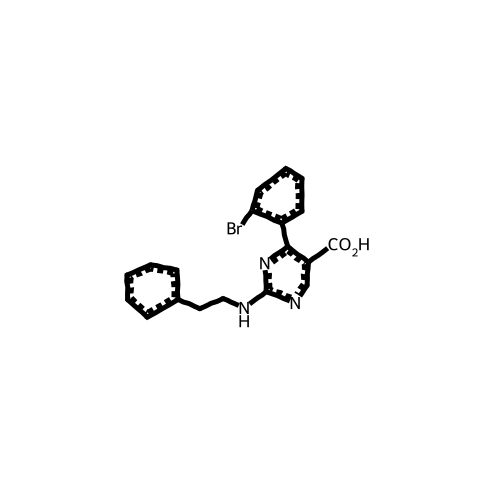 O=C(O)c1cnc(NCCc2ccccc2)nc1-c1ccccc1Br